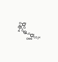 COc1cc(OCC23CCC(OCc4c(-c5c(Cl)cncc5Cl)noc4C4CC4)(CC2)CC3)cnc1C(=O)O